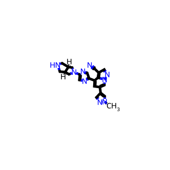 Cn1cc(-c2cc(-c3cnc(N4C[C@H]5CNC[C@H]5C4)cn3)c3c(C#N)cnn3c2)cn1